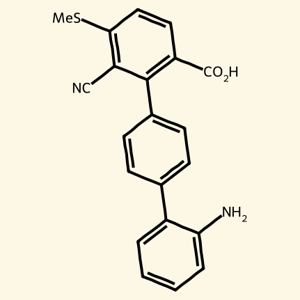 CSc1ccc(C(=O)O)c(-c2ccc(-c3ccccc3N)cc2)c1C#N